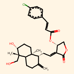 C=C1CCC2[C@](C)(CO)[C@H](O)CC[C@@]2(C)[C@@H]1C/C=C1/C(=O)OC[C@H]1OC(=O)/C=C/c1ccc(Cl)cc1